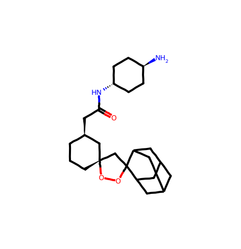 N[C@H]1CC[C@H](NC(=O)C[C@@H]2CCC[C@@]3(C2)CC2(OO3)C3CC4CC(C3)CC2C4)CC1